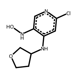 ONc1cnc(Cl)cc1NC1CCOC1